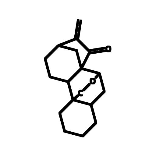 C=C1C(=O)C23CC1CCC2C12CCCCC1CC3OC2